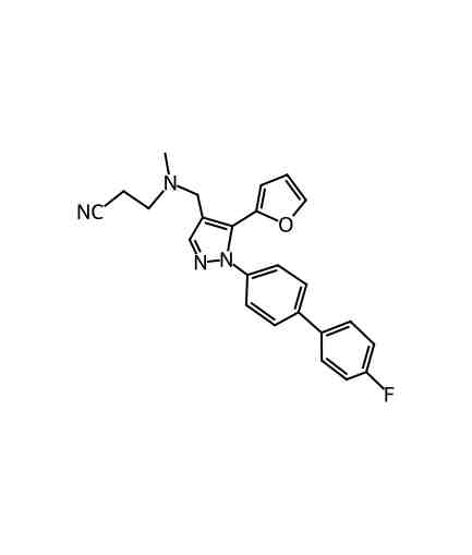 CN(CCC#N)Cc1cnn(-c2ccc(-c3ccc(F)cc3)cc2)c1-c1ccco1